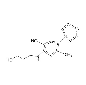 Cc1nc(NCCCO)c(C#N)cc1-c1ccncc1